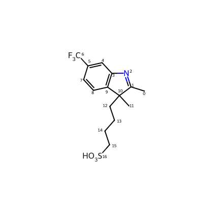 CC1=Nc2cc(C(F)(F)F)ccc2C1(C)CCCCS(=O)(=O)O